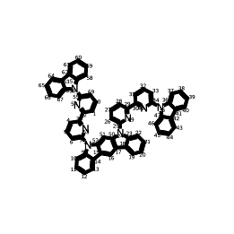 c1cc(-c2cccc(-n3c4ccccc4c4cc5c6ccccc6n(-c6cccc(-c7cccc(-n8c9ccccc9c9ccccc98)n7)n6)c5cc43)n2)nc(-n2c3ccccc3c3ccccc32)c1